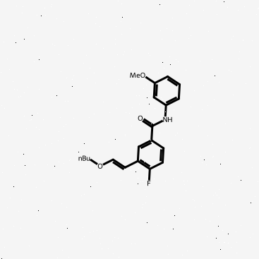 CCCCOC=Cc1cc(C(=O)Nc2cccc(OC)c2)ccc1F